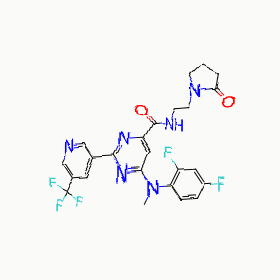 CN(c1cc(C(=O)NCCN2CCCC2=O)nc(-c2cncc(C(F)(F)F)c2)n1)c1ccc(F)cc1F